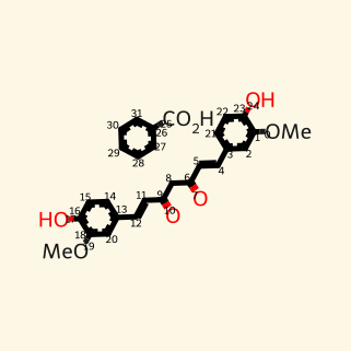 COc1cc(C=CC(=O)CC(=O)C=Cc2ccc(O)c(OC)c2)ccc1O.O=C(O)c1ccccc1